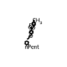 CCCCC[C@H]1CC[C@H](CCCOc2ccc(C(=O)Oc3ccc(C)cc3F)cc2)CC1